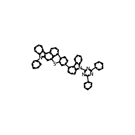 c1ccc(-c2nc(-c3ccccc3)nc(-n3c4ccccc4c4c(-c5ccc6c(c5)Sc5cc7c(c8cccc-6c58)c5ccccc5n7-c5ccccc5)cccc43)n2)cc1